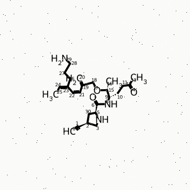 C#C[C@@H]1CN[C@H](C(=O)N[C@@H](CCC(C)=O)[C@@H](C)OCC(=C)/C=C\C(=C/C)CCCN)C1